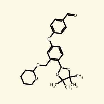 CC1(C)OB(c2ccc(Oc3ccc(C=O)cc3)cc2COC2CCCCO2)OC1(C)C